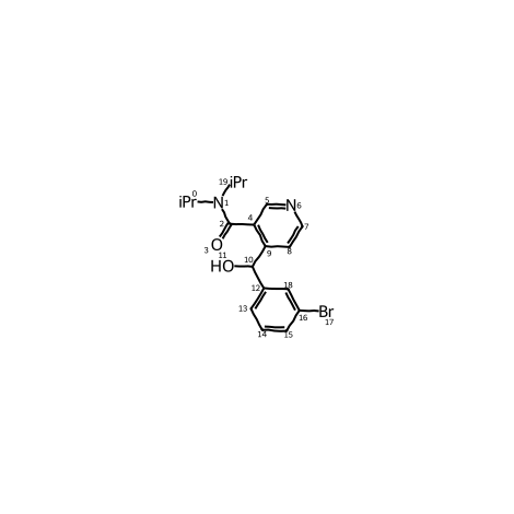 CC(C)N(C(=O)c1cnccc1C(O)c1cccc(Br)c1)C(C)C